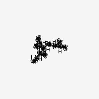 NC(=O)[C@H](CCCCNC(=O)[C@@H](CCCCNC(=O)[C@H](CCCCNC(=O)CCCN1C(=O)C=CC1=O)NC(=O)CCCN1C(=O)C=CC1=O)NC(=O)[C@H](CCCCNC(=O)CCCN1C(=O)C=CC1=O)NC(=O)CCCN1C(=O)C=CC1=O)NC(=O)CCCCCNC(=O)[C@H](CCCCNC(=O)CCCN1C(=O)C=CC1=O)NC(=O)CCCN1C(=O)C=CC1=O